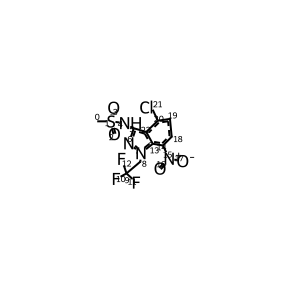 CS(=O)(=O)Nc1nn(CC(F)(F)F)c2c([N+](=O)[O-])ccc(Cl)c12